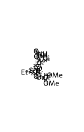 CCc1cc2c(=O)n(CC(=O)c3cc(OC)cc(OC)c3)c(=O)n(Cc3ccc(-c4ccccc4-c4noc(=O)[nH]4)cc3)c2s1